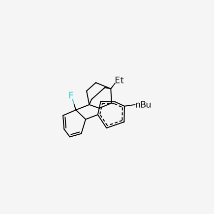 CCCCc1ccc(C2C=CC=CC2(F)C23CCC(CC)(CC2)CC3)cc1